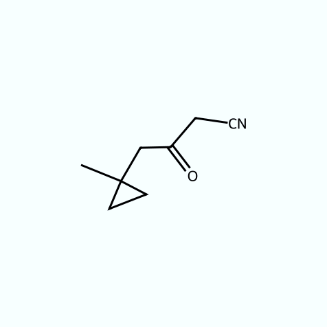 CC1(CC(=O)CC#N)CC1